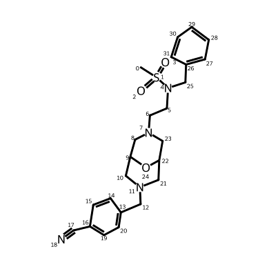 CS(=O)(=O)N(CCN1CC2CN(Cc3ccc(C#N)cc3)CC(C1)O2)Cc1ccccc1